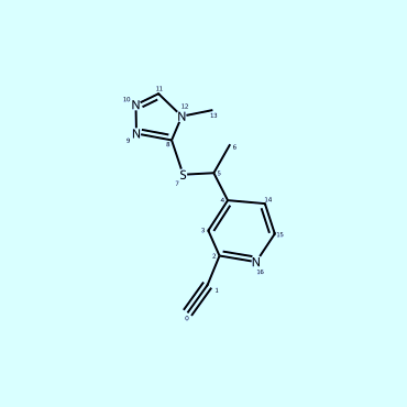 C#Cc1cc(C(C)Sc2nncn2C)ccn1